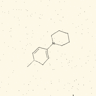 CC1C=CC(N2CCCCC2)=CC1